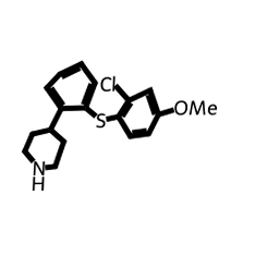 COc1ccc(Sc2ccccc2C2CCNCC2)c(Cl)c1